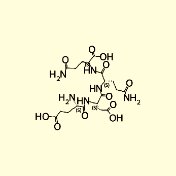 NC(=O)CC[C@H](NC(=O)[C@H](CCC(N)=O)NC(=O)[C@H](CC(=O)O)NC(=O)[C@@H](N)CCC(=O)O)C(=O)O